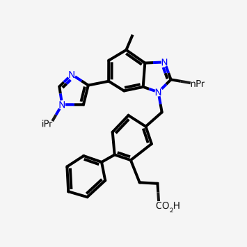 CCCc1nc2c(C)cc(-c3cn(C(C)C)cn3)cc2n1Cc1ccc(-c2ccccc2)c(CCC(=O)O)c1